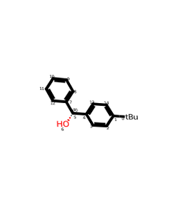 CC(C)(C)c1ccc([C@H](O)c2ccccc2)cc1